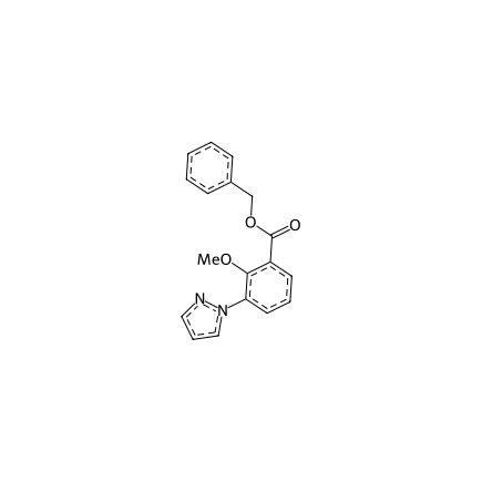 COc1c(C(=O)OCc2ccccc2)cccc1-n1cccn1